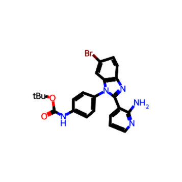 CC(C)(C)OC(=O)Nc1ccc(-n2c(-c3cccnc3N)nc3ccc(Br)cc32)cc1